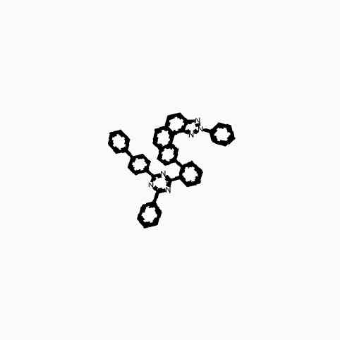 c1ccc(-c2ccc(-c3nc(-c4ccccc4)nc(-c4ccccc4-c4ccc5ccc6ccc7nn(-c8ccccc8)nc7c6c5c4)n3)cc2)cc1